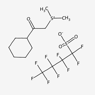 C[S+](C)CC(=O)C1CCCCC1.O=S(=O)([O-])C(F)(F)C(F)(F)C(F)(F)C(F)(F)F